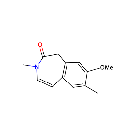 COc1cc2c(cc1C)C=CN(C)C(=O)C2